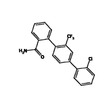 NC(=O)c1ccccc1-c1ccc(-c2ccccc2Cl)cc1C(F)(F)F